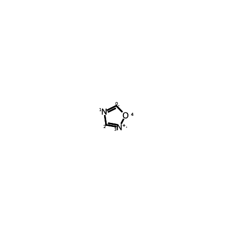 [C]1=NC=[N+]O1